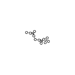 c1ccc(-c2ccc(N(c3ccccc3)c3ccc(-c4cccc(-c5ccc6c(c5)c5ccccc5n6-c5ccc6c(c5)C(c5ccccc5)(c5ccccc5)c5ccccc5-6)c4)cc3)cc2)cc1